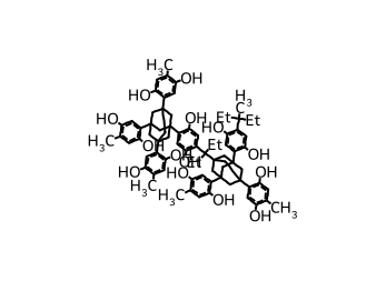 CCC(C)(CC)c1cc(O)c(C23CC4(c5cc(O)c(C)cc5O)CC(c5cc(O)c(C)cc5O)(C2)CC(C(CC)(CC)c2cc(O)c(C56CC7(c8cc(O)c(C)cc8O)CC(c8cc(O)c(C)cc8O)(CC(c8cc(O)c(C)cc8O)(C7)C5)C6)cc2O)(C4)C3)cc1O